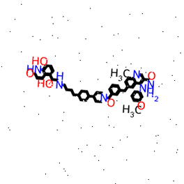 COc1cccc(Nc2c(C(N)=O)cnc3c(C)cc(Cc4cccc(C(=O)N5CCC(C6CCC(CCCCNC[C@H](O)c7ccc(O)c8[nH]c(=O)ccc78)CC6)CC5)c4)cc23)c1